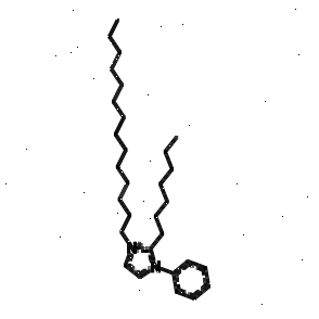 CCCCCCCCCCCCCC[n+]1ccn(-c2ccccc2)c1CCCCCCC